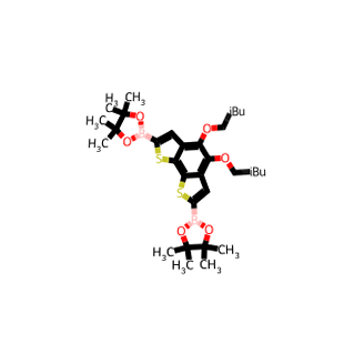 CCC(C)COc1c(OCC(C)CC)c2cc(B3OC(C)(C)C(C)(C)O3)sc2c2sc(B3OC(C)(C)C(C)(C)O3)cc12